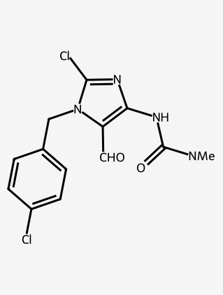 CNC(=O)Nc1nc(Cl)n(Cc2ccc(Cl)cc2)c1C=O